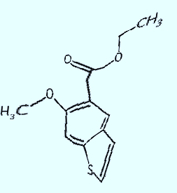 CCOC(=O)c1cc2ccsc2cc1OC